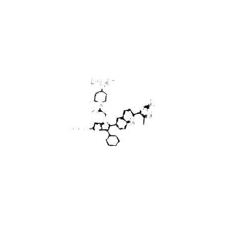 CCN(CC)C1CCN(C(=O)Cn2c(-c3ccc4nc(-c5sc(C(F)(F)F)nc5C)ccc4c3)c(C3CCCCC3)c3sc(C(=O)O)cc32)CC1